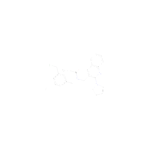 COC(=O)N(Cc1cc(CF)cc(C(F)(F)F)c1)Cc1cc2ccccc2nc1N1CCCC1